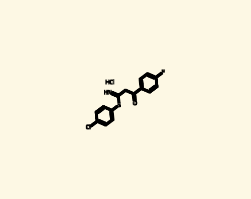 Cl.N=C(CC(=O)c1ccc(F)cc1)Sc1ccc(Cl)cc1